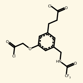 O=C(Cl)CCc1cc(CNC(=O)C(F)(F)F)cc(OCC(=O)Cl)c1